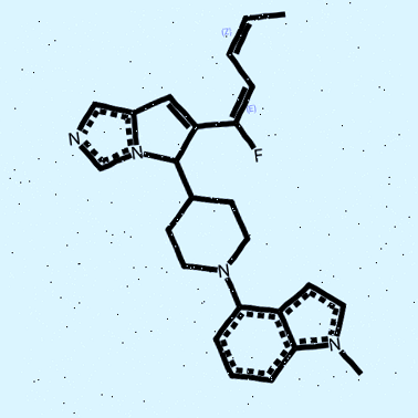 C/C=C\C=C(\F)C1=Cc2cncn2C1C1CCN(c2cccc3c2ccn3C)CC1